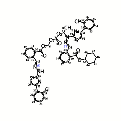 CC(OC(=O)OCOC(=O)c1ccccc1/C=N/Nc1nc(-c2ccccc2Cl)cs1)N(/N=C/c1ccccc1C(=O)OC1CCCCC1)c1nc(-c2ccccc2Cl)cs1